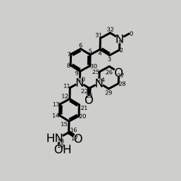 CN1CC=C(c2cccc(N(Cc3ccc(C(=O)NO)cc3)C(=O)N3CCOCC3)c2)CC1